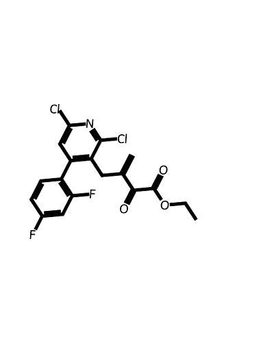 C=C(Cc1c(-c2ccc(F)cc2F)cc(Cl)nc1Cl)C(=O)C(=O)OCC